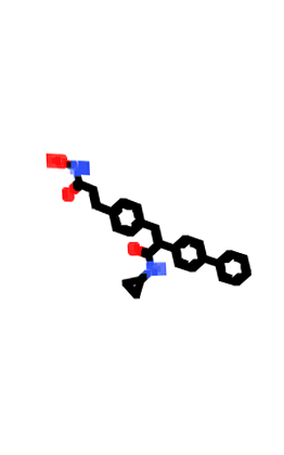 O=C(C=Cc1ccc(C=C(C(=O)NC2CC2)c2ccc(-c3ccccc3)cc2)cc1)NO